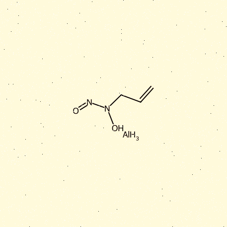 C=CCN(O)N=O.[AlH3]